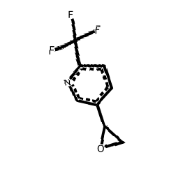 FC(F)(F)c1ccc([C]2CO2)cn1